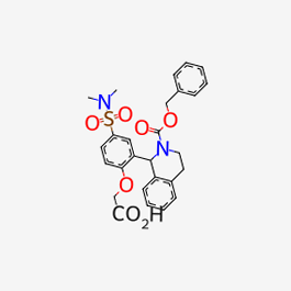 CN(C)S(=O)(=O)c1ccc(OCC(=O)O)c(C2c3ccccc3CCN2C(=O)OCc2ccccc2)c1